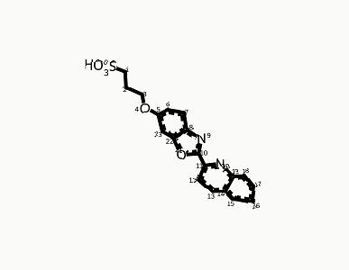 O=S(=O)(O)CCCOc1ccc2nc(-c3ccc4ccccc4n3)oc2c1